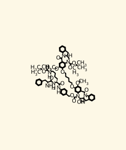 COc1cc2c(cc1OCCCCCOc1cc3c(cc1OC)C(=O)N1c4ccccc4C[C@H]1C(O)N3C(=O)OCc1ccc(NC(=O)[C@H](CCCCNC(=O)OC(C)(C)C)NC(=O)[C@@H](N)Cc3ccccc3)cc1)N(C(=O)OC(C)(C)C)C[C@@H]1Cc3ccccc3N1C2=O